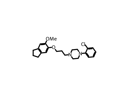 COc1cc2c(cc1OCCCN1CCN(c3ccccc3Cl)CC1)CCC2